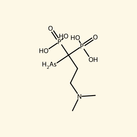 CN(C)CCC([AsH2])(P(=O)(O)O)P(=O)(O)O